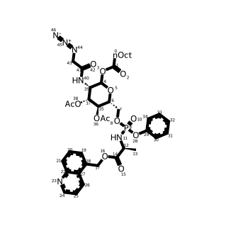 CCCCCCCCC(=O)OC1O[C@H](COP(=O)(N[C@@H](C)C(=O)OCc2cccc3ncccc23)Oc2ccccc2)[C@@H](OC(C)=O)[C@H](OC(C)=O)[C@@H]1NC(=O)CN=[N+]=[N-]